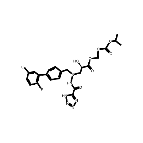 CC(C)OC(=O)OCOC(=O)[C@H](O)CN(Cc1ccc(-c2cc(Cl)ccc2F)cc1)NC(=O)c1nnn[nH]1